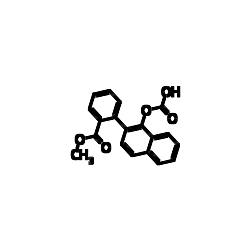 COC(=O)c1ccccc1-c1ccc2ccccc2c1OC(=O)O